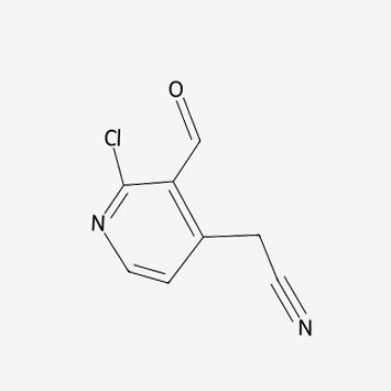 N#CCc1ccnc(Cl)c1C=O